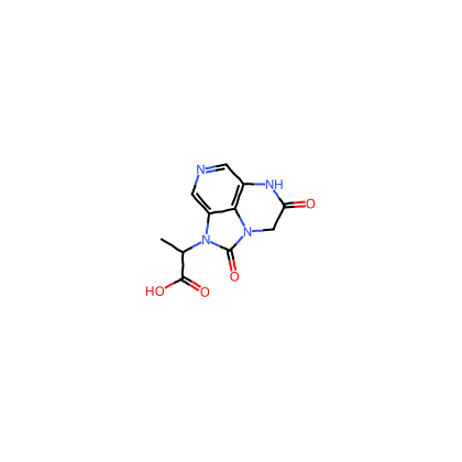 CC(C(=O)O)n1c(=O)n2c3c(cncc31)NC(=O)C2